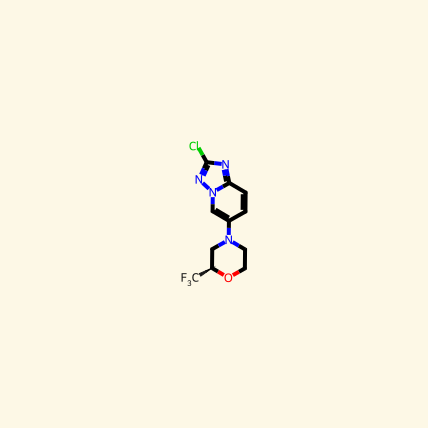 FC(F)(F)[C@H]1CN(c2ccc3nc(Cl)nn3c2)CCO1